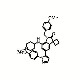 COc1ccc(CN2C(=O)C3(CCC3)c3cc(-c4ccnn4-c4ccc(OC)cc4)cc(NC4CCN(C)CC4)c32)cc1